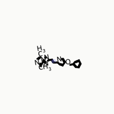 Cc1ncc(C)n2nc(/C=C/c3ccc(OCc4ccccc4)cn3)nc12